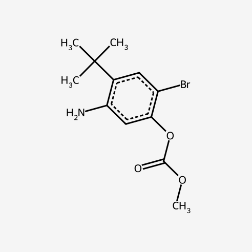 COC(=O)Oc1cc(N)c(C(C)(C)C)cc1Br